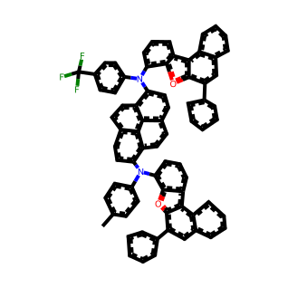 Cc1ccc(N(c2ccc3ccc4c(N(c5ccc(C(F)(F)F)cc5)c5cccc6c5oc5c(-c7ccccc7)cc7ccccc7c56)ccc5ccc2c3c54)c2cccc3c2oc2c(-c4ccccc4)cc4ccccc4c23)cc1